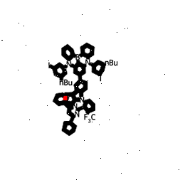 CCCCc1cc(I)cc(N2c3ccccc3B3c4ccccc4N(c4cc(I)cc(CCCC)c4)c4cc(-c5ccc6c(c5)c5ccccc5n6-c5cccc(C(F)(F)F)c5-c5nc(-c6ccccc6)cc(-c6ccccc6)n5)cc2c43)c1